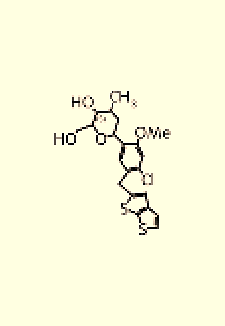 COc1cc(Cl)c(Cc2cc3ccsc3s2)cc1C1CC(C)[C@H](O)C(CO)O1